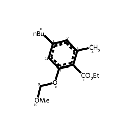 CCCCc1cc(C)c(C(=O)OCC)c(OCOC)c1